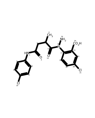 CC(CC(=O)Nc1ccc(Cl)cc1)C(=O)N(N)c1ccc(Cl)cc1C(=O)O